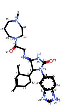 CC1=CC(C)C(C2/C(=N/CC(=O)N3CCCN(C)CC3)NC(=O)N2c2ccc3[nH]cnc3c2)CC1